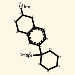 CCCCCCCC1(c2ccc3c(c2)CCC(CCCCCC)C3)CCCCC1